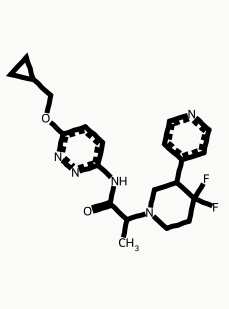 CC(C(=O)Nc1ccc(OCC2CC2)nn1)N1CCC(F)(F)C(c2ccncc2)C1